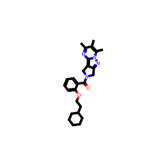 Cc1nc2c3c(nn2c(C)c1C)CN(C(=O)c1ccccc1OCCC1CCCCC1)C3